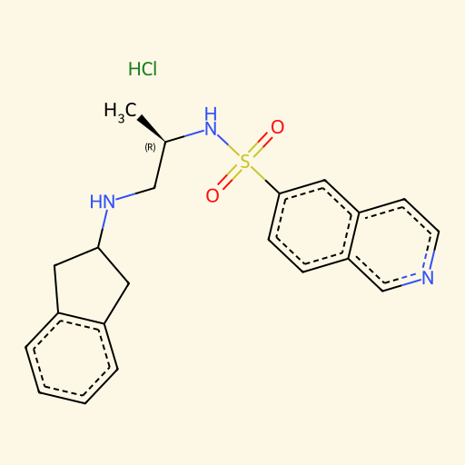 C[C@H](CNC1Cc2ccccc2C1)NS(=O)(=O)c1ccc2cnccc2c1.Cl